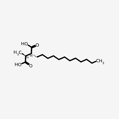 CCCCCCCCCCCC[C@@H](C(=O)O)[C@H](C)C(=O)O